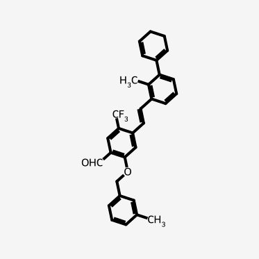 Cc1cccc(COc2cc(/C=C/c3cccc(C4=CCCC=C4)c3C)c(C(F)(F)F)cc2C=O)c1